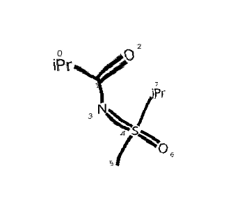 CC(C)C(=O)N=S(C)(=O)C(C)C